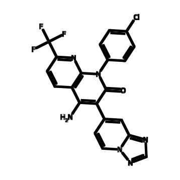 Nc1c(-c2ccn3ncnc3c2)c(=O)n(-c2ccc(Cl)cc2)c2nc(C(F)(F)F)ccc12